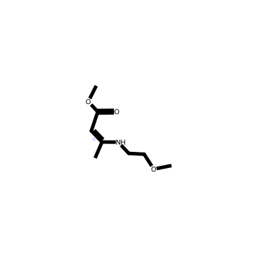 COCCN/C(C)=C\C(=O)OC